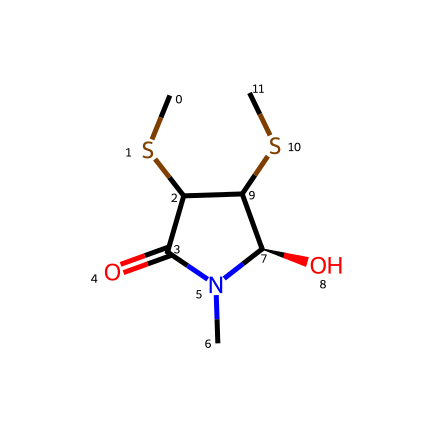 CSC1C(=O)N(C)[C@H](O)C1SC